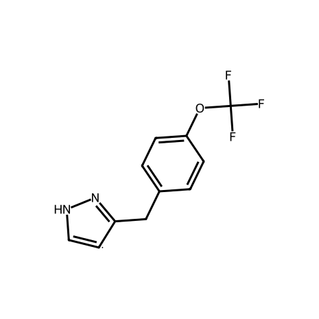 FC(F)(F)Oc1ccc(Cc2[c]c[nH]n2)cc1